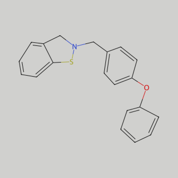 c1ccc(Oc2ccc(CN3Cc4ccccc4S3)cc2)cc1